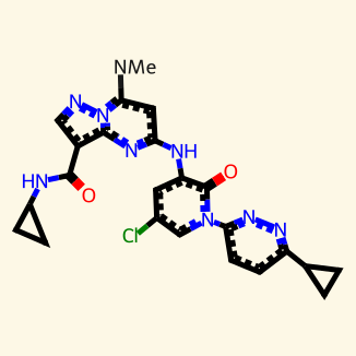 CNc1cc(Nc2cc(Cl)cn(-c3ccc(C4CC4)nn3)c2=O)nc2c(C(=O)NC3CC3)cnn12